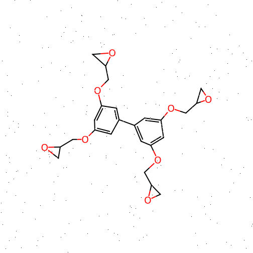 c1c(OCC2CO2)cc(-c2cc(OCC3CO3)cc(OCC3CO3)c2)cc1OCC1CO1